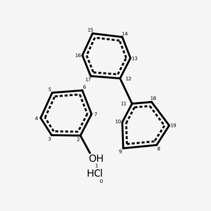 Cl.Oc1ccccc1.c1ccc(-c2ccccc2)cc1